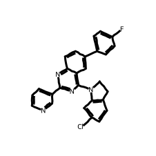 Fc1ccc(-c2ccc3nc(-c4cccnc4)nc(N4CCc5ccc(Cl)cc54)c3c2)cc1